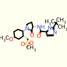 CO[C@@H]1CC[C@H](N2CC[C@H](NC(=O)c3ccnc(C(C)(C)C)n3)C2=O)[C@H](CS(C)(=O)=O)C1